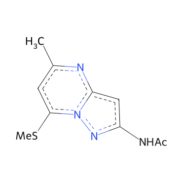 CSc1cc(C)nc2cc(NC(C)=O)nn12